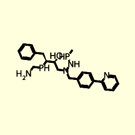 CPNN(Cc1ccc(-c2ccccn2)cc1)C[C@H](O)[C@H](Cc1ccccc1)PCN